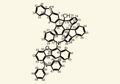 CC1(c2ccc3c(c2)sc2ccccc23)c2ccccc2C2(c3ccccc3-c3ccc(N(c4ccccc4)c4c5ccccc5cc5c4oc4cccc(N(c6ccccc6)c6ccccc6)c45)cc32)c2ccccc21